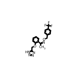 CC(=NOCc1ccc(C(F)(F)F)cc1)c1ccccc1OCc1nnn[nH]1